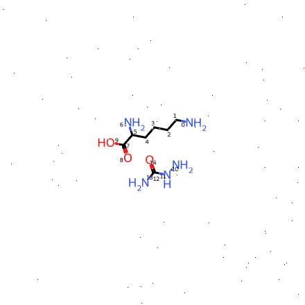 NCCCCC(N)C(=O)O.NNC(N)=O